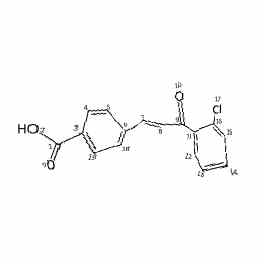 O=C(O)c1ccc(C=CC(=O)c2ccccc2Cl)cc1